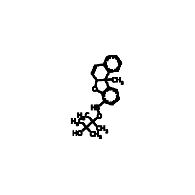 CC12c3ccccc3C=CC1Oc1c(BOC(C)(C)C(C)(C)O)cccc12